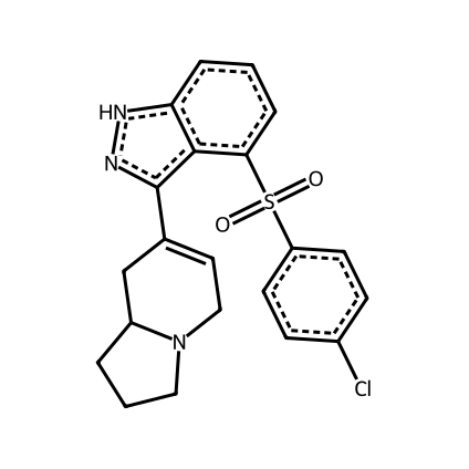 O=S(=O)(c1ccc(Cl)cc1)c1cccc2[nH]nc(C3=CCN4CCCC4C3)c12